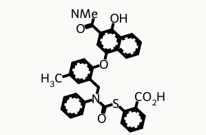 CNC(=O)c1cc(Oc2ccc(C)cc2CN(C(=O)Sc2ccccc2C(=O)O)c2ccccc2)c2ccccc2c1O